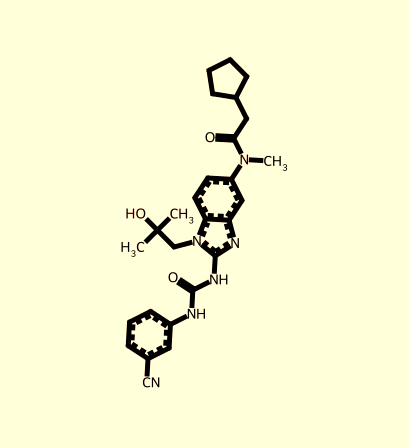 CN(C(=O)CC1CCCC1)c1ccc2c(c1)nc(NC(=O)Nc1cccc(C#N)c1)n2CC(C)(C)O